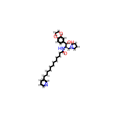 O=C(CCCCCCCCCCCc1cccnc1)N[C@H](CN1CCCC1)[C@H](O)c1ccc2c(c1)OCCO2